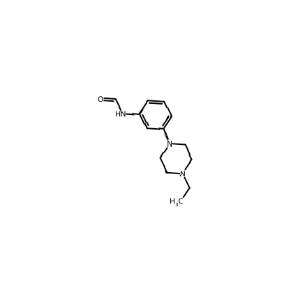 CCN1CCN(c2cccc(NC=O)c2)CC1